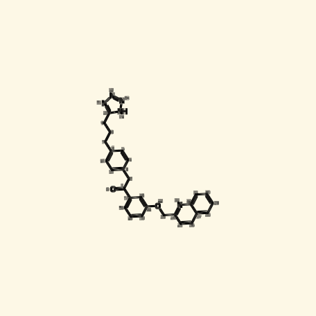 O=C(Cc1ccc(CCCc2nnn[nH]2)cc1)c1cccc(OCc2ccc3ccccc3n2)c1